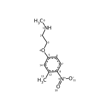 CNCCOc1ccc([N+](=O)[O-])c(C)c1